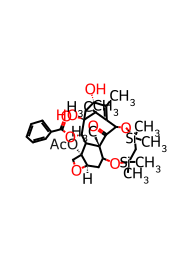 CC(=O)O[C@@]12CO[C@@H]1CC1O[Si](C)(C)C[Si](C)(C)OC3C(=O)[C@@]1(C)C2[C@H](OC(=O)c1ccccc1)[C@]1(O)C[C@H](O)C(C)=C3C1(C)C